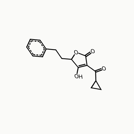 O=C1OC(CCc2ccccc2)C(O)=C1C(=O)C1CC1